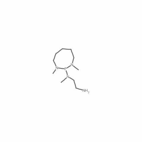 CN(CCN)P1N(C)CCCCCN1C